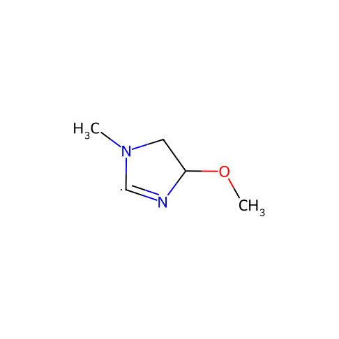 COC1CN(C)[C]=N1